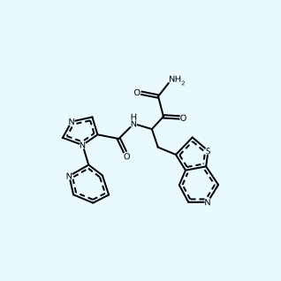 NC(=O)C(=O)C(Cc1csc2cnccc12)NC(=O)c1cncn1-c1ccccn1